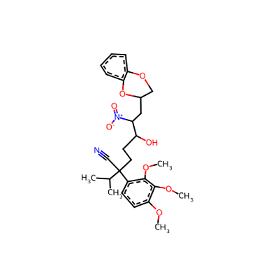 COc1ccc(C(C#N)(CCC(O)C(CC2COc3ccccc3O2)[N+](=O)[O-])C(C)C)c(OC)c1OC